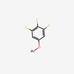 CCC(C)Oc1[c]c(F)c(F)c(F)c1